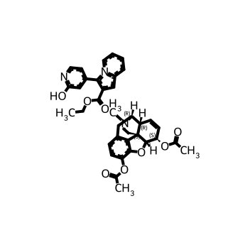 CC(=O)Oc1ccc2c3c1O[C@H]1[C@@H](OC(C)=O)C=C[C@H]4[C@@H](C2)N(C)CC[C@@]341.CCOC(=O)c1cc2ccccn2c1-c1ccnc(O)c1